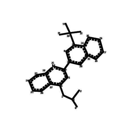 CC(C)Cc1cc(-c2cc(C(C)(C)C)c3ccccc3c2)nc2ccccc12